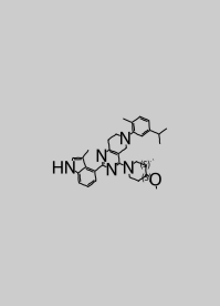 CO[C@H]1CCN(c2nc(-c3cccc4[nH]cc(C)c34)nc3c2CN(c2cc(C(C)C)ccc2C)CC3)C[C@@H]1C